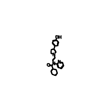 O=C(C1CCCCC1)N(CCN1CCC(c2ccc(O)cc2)C1)c1ccccn1